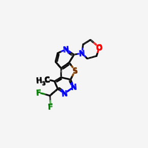 Cc1c(C(F)F)nnc2sc3c(N4CCOCC4)nccc3c12